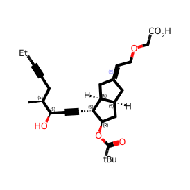 CCC#CC[C@H](C)[C@H](O)C#C[C@@H]1[C@H]2C/C(=C/COCC(=O)O)C[C@H]2C[C@H]1OC(=O)C(C)(C)C